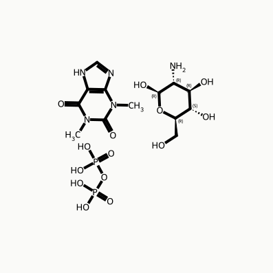 Cn1c(=O)c2[nH]cnc2n(C)c1=O.N[C@@H]1[C@@H](O)[C@H](O)[C@@H](CO)O[C@H]1O.O=P(O)(O)OP(=O)(O)O